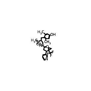 Cc1cc(O)cc(C)c1CC(CNC(=O)CC(c1cccnc1)C1(C(F)(F)F)CC1)N(C)C